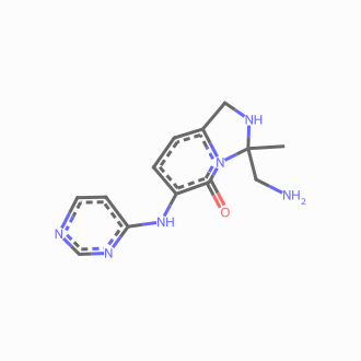 CC1(CN)NCc2ccc(Nc3ccncn3)c(=O)n21